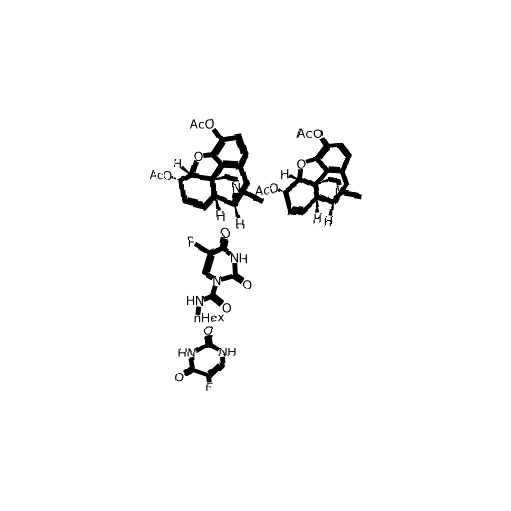 CC(=O)Oc1ccc2c3c1O[C@H]1[C@@H](OC(C)=O)C=C[C@H]4[C@@H](C2)N(C)CC[C@@]341.CC(=O)Oc1ccc2c3c1O[C@H]1[C@@H](OC(C)=O)C=C[C@H]4[C@@H](C2)N(C)CC[C@@]341.CCCCCCNC(=O)n1cc(F)c(=O)[nH]c1=O.O=c1[nH]cc(F)c(=O)[nH]1